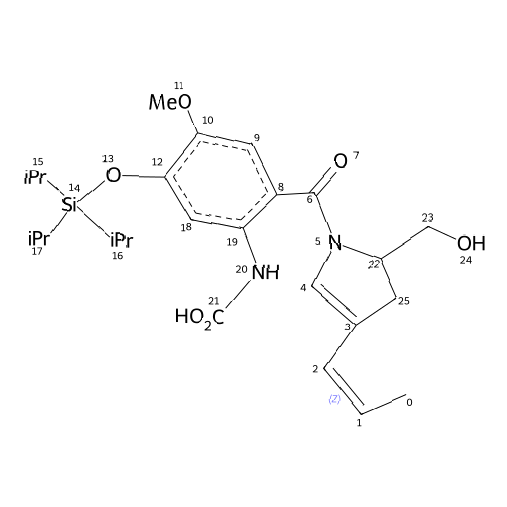 C/C=C\C1=CN(C(=O)c2cc(OC)c(O[Si](C(C)C)(C(C)C)C(C)C)cc2NC(=O)O)C(CO)C1